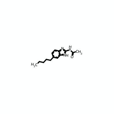 CCCCCc1ccc2nc(PC(C)=O)[nH]c2c1